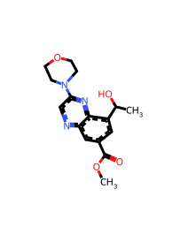 COC(=O)c1cc(C(C)O)c2nc(N3CCOCC3)cnc2c1